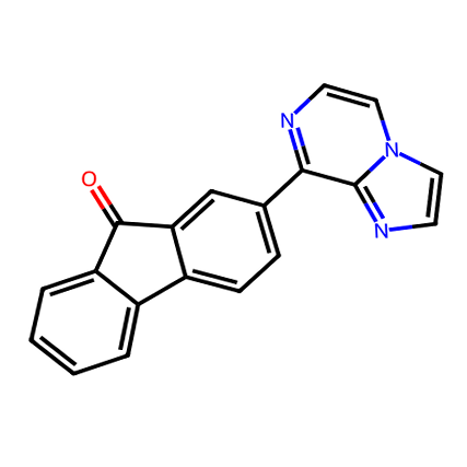 O=C1c2ccccc2-c2ccc(-c3nccn4ccnc34)cc21